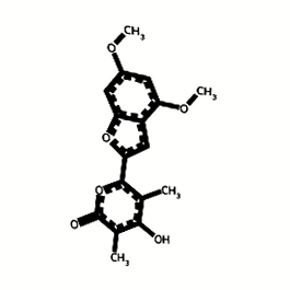 COc1cc(OC)c2cc(-c3oc(=O)c(C)c(O)c3C)oc2c1